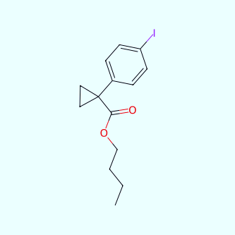 CCCCOC(=O)C1(c2ccc(I)cc2)CC1